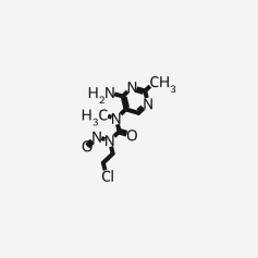 Cc1ncc(N(C)C(=O)N(CCCl)N=O)c(N)n1